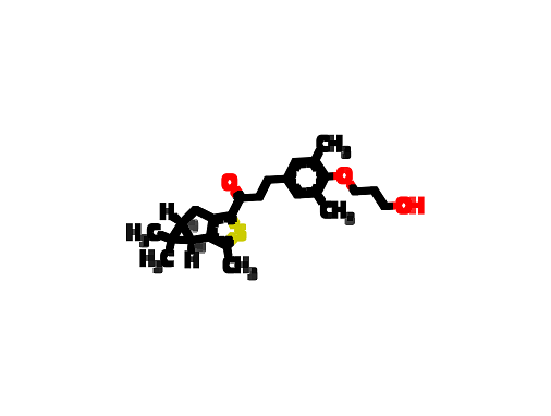 Cc1cc(CCC(=O)c2sc(C)c3c2C[C@@H]2[C@H]3C2(C)C)cc(C)c1OCCCO